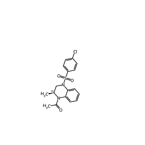 CC(=O)N1c2ccccc2N(S(=O)(=O)c2ccc(Cl)cc2)C[C@@H]1C